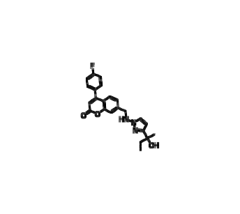 CCC(C)(O)c1ccn(NCc2ccc3c(-c4ccc(F)cc4)cc(=O)oc3c2)n1